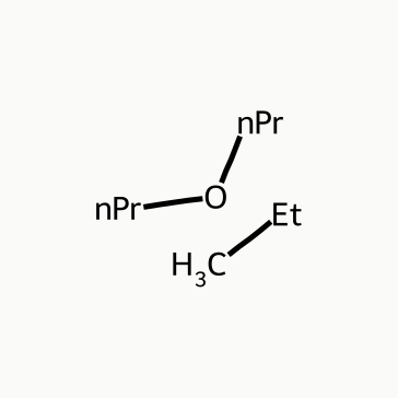 CCC.CCCOCCC